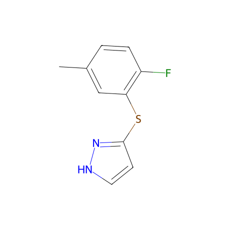 Cc1ccc(F)c(Sc2cc[nH]n2)c1